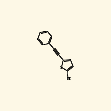 CCc1ccc(C#Cc2ccccc2)s1